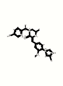 COc1cc(C=C2OC(C)CN([C@H](C)c3ccc(F)cn3)C2=O)ccc1-n1cnc(C)c1